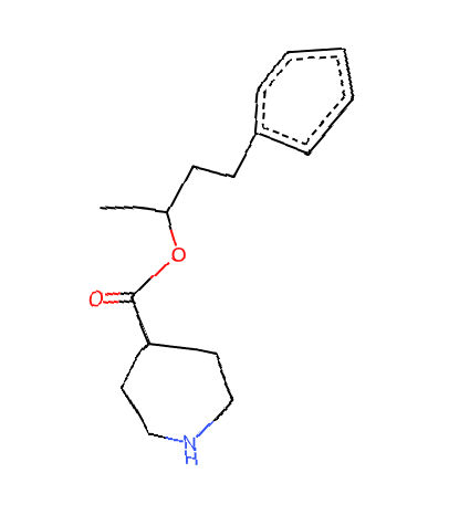 CC(CCc1ccccc1)OC(=O)C1CCNCC1